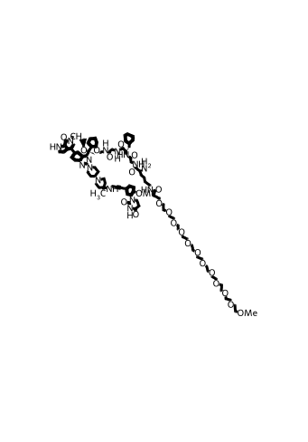 COCCOCCOCCOCCOCCOCCOCCOCCOCCOCCOCCOCCC(=O)NCCCC[C@H](N)C(=O)NCC(=O)N[C@@H](Cc1ccccc1)C(=O)NCC(=O)NCOC[C@](OC1CC1)(c1ccccc1)c1nc(N2CCC(N3CCC(C)(NCC#Cc4ccc(OC)c(N5CCC(=O)NC5=O)c4)CC3)CC2)nc2ccc(-c3cn(C)c(=O)c4[nH]ccc34)cc12